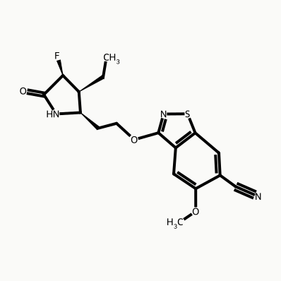 CC[C@@H]1[C@H](F)C(=O)N[C@@H]1CCOc1nsc2cc(C#N)c(OC)cc12